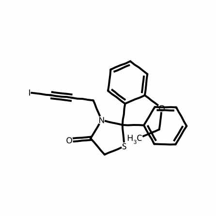 CCOc1ccccc1C1(c2ccccc2)SCC(=O)N1CC#CI